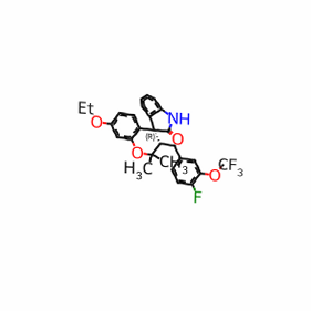 CCOc1ccc2c(c1)OC(C)(C)C(Cc1ccc(F)c(OC(F)(F)F)c1)[C@]21C(=O)Nc2ccccc21